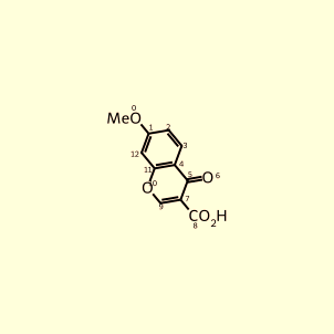 COc1ccc2c(=O)c(C(=O)O)coc2c1